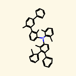 Cc1ccc(-c2ccccc2)cc1-c1cccc(N(c2ccc(-c3ccccc3)c(-c3ccccc3C)c2C)c2c(C)cccc2C)c1C